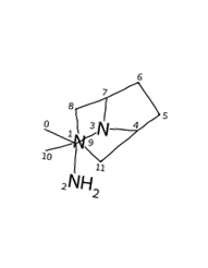 CC(N)N1C2CCC1CN(C)C2